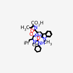 Cc1oc([C@@H](Cc2cn(C)c3ccccc23)NC(=O)C(CC(C)C)N(C)C(=O)NC2CCCCC2)nc1C(=O)O